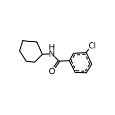 O=C(NC1CCCCC1)c1cccc(Cl)c1